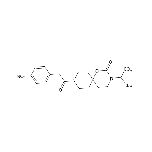 CC(C)(C)C(C(=O)O)N1CCC2(CCN(C(=O)Cc3ccc(C#N)cc3)CC2)OC1=O